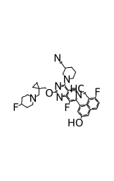 C#Cc1c(F)ccc2cc(O)cc(-c3ncc4c(N5CCCC(C#N)C5)nc(OCC5(CN6CCC(F)CC6)CC5)nc4c3F)c12